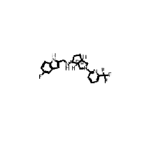 Fc1ccc2[nH]c(CN[C@H]3CC[C@@H]4CN(c5cccc(C(F)(F)F)n5)C[C@@H]43)cc2c1